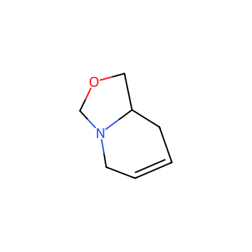 C1=CCN2COCC2C1